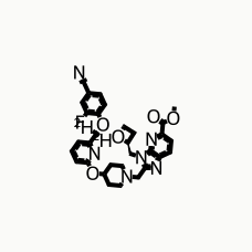 [2H]C([2H])(Oc1ccc(C#N)cc1F)c1cccc(OC2CCN(Cc3nc4ccc(C(=O)OC)nc4n3C[C@@H]3CCO3)CC2)n1